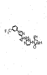 CC(C)C1CNC(=O)N1c1ccnc(NC2(c3cn(-c4cccc(C(F)(F)F)c4)cn3)CC2)n1